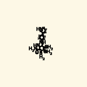 BC1=C(C(N)=O)C(=N)/C(=C\Nc2ccc(C3CCCNC3)cc2)C(B)=C1B